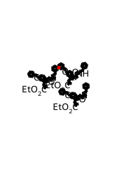 CCOC(=O)C(C)=Cc1cn(C(C)C(=O)NCCc2ccccc2)c2ccc(OCc3ccccc3)cc12.CCOC(=O)C(C)=Cc1cn(CC(=O)N(C)CCc2ccccc2)c2ccc(OCc3ccccc3)cc12.CCOC(=O)C(C)=Cc1cn(CC(=O)N(C)CCc2ccccc2)c2ccc(OCc3ccccc3)cc12